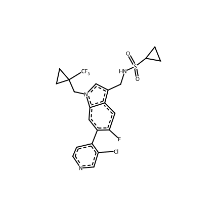 O=S(=O)(NCc1cn(CC2(C(F)(F)F)CC2)c2cc(-c3ccncc3Cl)c(F)cc12)C1CC1